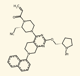 C=CC(=O)N1CCN(c2nc(OC[C@@H]3CCCN3C(C)C)nc3c2CCN(c2cccc4ccccc24)C3)C[C@@H]1CC#N